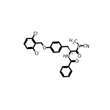 CN(C#N)C(=O)[C@H](Cc1ccc(OCc2c(Cl)cccc2Cl)cc1)NC(=O)c1ccccc1